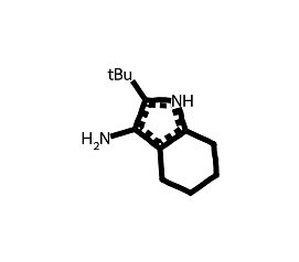 CC(C)(C)c1[nH]c2c(c1N)CCCC2